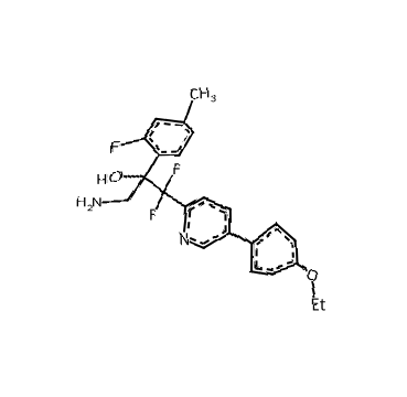 CCOc1ccc(-c2ccc(C(F)(F)C(O)(CN)c3ccc(C)cc3F)nc2)cc1